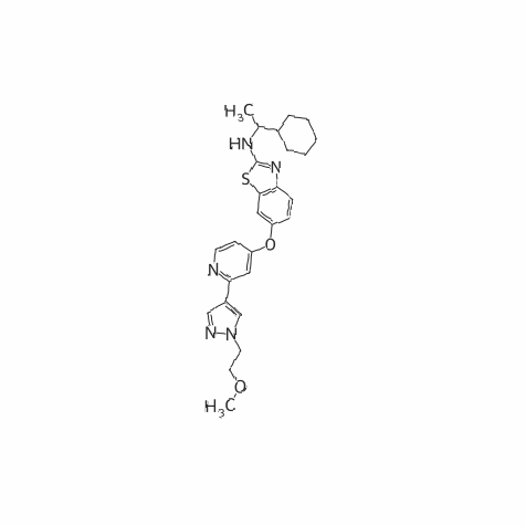 COCCn1cc(-c2cc(Oc3ccc4nc(NC(C)C5CCCCC5)sc4c3)ccn2)cn1